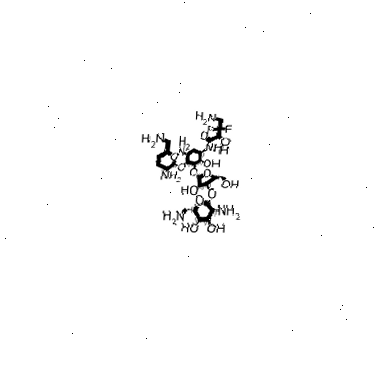 NCC1=CC[C@@H](N)[C@@H](O[C@H]2[C@H](O[C@@H]3O[C@H](CO)[C@@H](O[C@H]4O[C@@H](CN)[C@@H](O)[C@H](O)[C@H]4N)[C@H]3O)[C@@H](O)[C@H](NC(=O)C(O)C(F)(F)CN)C[C@@H]2N)O1